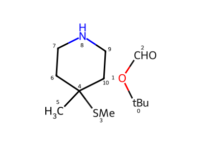 CC(C)(C)OC=O.CSC1(C)CCNCC1